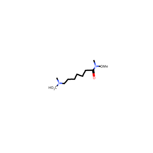 CON(C)C(=O)CCCCCCN(C)C(=O)O